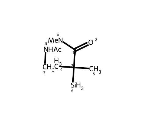 CNC(=O)C(C)(C)[SiH3].CNC(C)=O